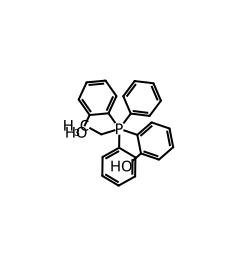 CCP(c1ccccc1)(c1ccccc1)(c1ccccc1O)c1ccccc1O